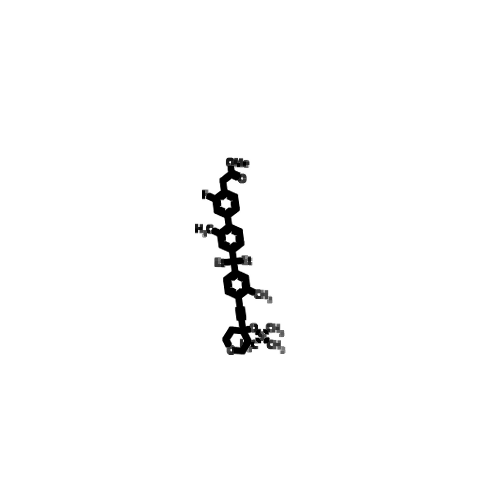 CCC(CC)(c1ccc(C#CC2(O[Si](C)(C)C)CCOCC2)c(C)c1)c1ccc(-c2ccc(CC(=O)OC)c(F)c2)c(C)c1